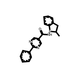 CC1Cc2ccccc2N1NC(=O)c1cnc(-c2ccccc2)nc1